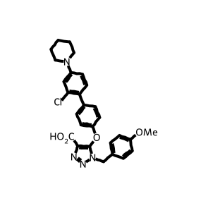 COc1ccc(Cn2nnc(C(=O)O)c2Oc2ccc(-c3ccc(N4CCCCC4)cc3Cl)cc2)cc1